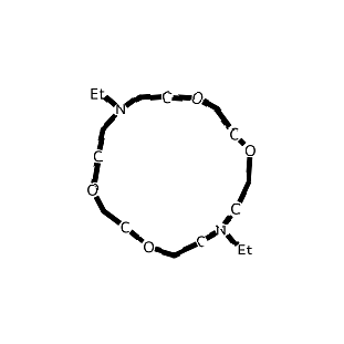 CCN1CCOCCOCCN(CC)CCOCCOCC1